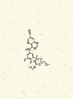 COC[C@H]1SC(N)=N[C@](C)(c2cc(Nc3ncnc4cc(C#N)cnc34)cc(F)c2F)[C@@H]1C